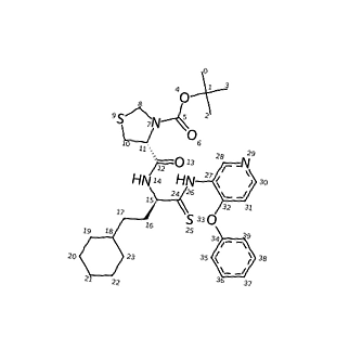 CC(C)(C)OC(=O)N1CSC[C@H]1C(=O)N[C@H](CCC1CCCCC1)C(=S)Nc1cnccc1Oc1ccccc1